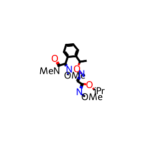 CNC(=O)C(=NOC)c1ccccc1C(C)ON=CC(=NOC)OC(C)C